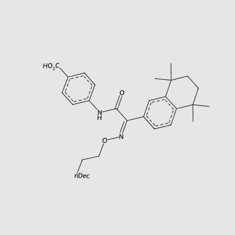 CCCCCCCCCCCCO/N=C(\C(=O)Nc1ccc(C(=O)O)cc1)c1ccc2c(c1)C(C)(C)CCC2(C)C